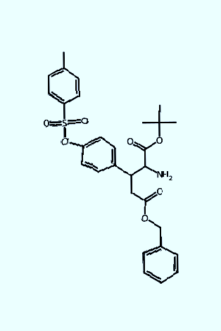 Cc1ccc(S(=O)(=O)Oc2ccc(C(CC(=O)OCc3ccccc3)C(N)C(=O)OC(C)(C)C)cc2)cc1